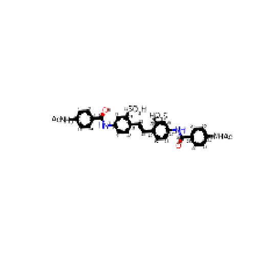 CC(=O)Nc1ccc(C(=O)Nc2ccc(C=Cc3ccc(NC(=O)c4ccc(NC(C)=O)cc4)cc3S(=O)(=O)O)c(S(=O)(=O)O)c2)cc1